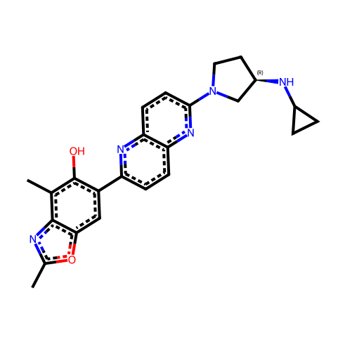 Cc1nc2c(C)c(O)c(-c3ccc4nc(N5CC[C@@H](NC6CC6)C5)ccc4n3)cc2o1